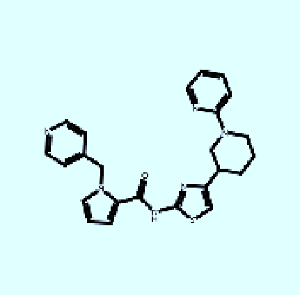 O=C(Nc1nc(C2CCCN(c3ccccn3)C2)cs1)c1cccn1Cc1ccncc1